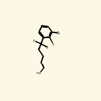 OCCCCC(F)(F)c1cccc(Br)c1F